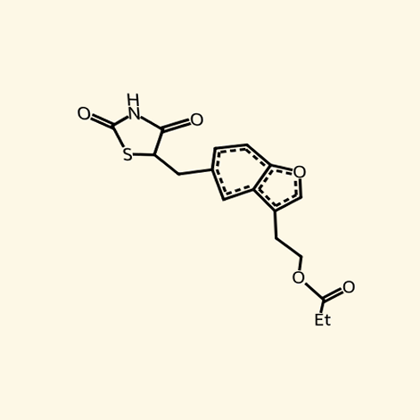 CCC(=O)OCCc1coc2ccc(CC3SC(=O)NC3=O)cc12